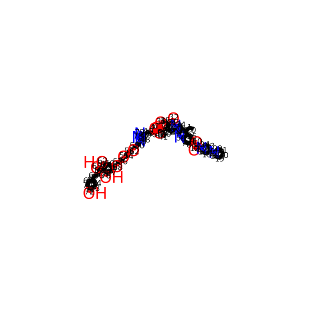 CCc1c2c(nc3ccc(OC(=O)N4CCC(N5CCCCC5)CC4)cc13)-c1cc3c(c(=O)n1C2)COC(=O)[C@@]3(CC)OC(=O)CCc1cn(CCOCCOCCOc2cc(O)c(C(=O)CCc3ccc(O)cc3)c(O)c2)nn1